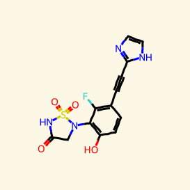 O=C1CN(c2c(O)ccc(C#Cc3ncc[nH]3)c2F)S(=O)(=O)N1